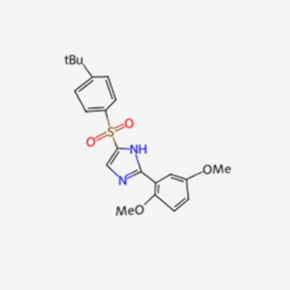 COc1ccc(OC)c(-c2ncc(S(=O)(=O)c3ccc(C(C)(C)C)cc3)[nH]2)c1